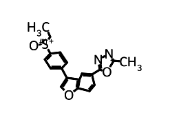 CC[S@+]([O-])c1ccc(-c2coc3ccc(-c4nnc(C)o4)cc23)cc1